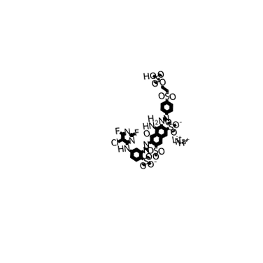 Nc1c(/N=N/c2ccc(S(=O)(=O)CCOS(=O)(=O)O)cc2)c(S(=O)(=O)[O-])cc2cc(S(=O)(=O)[O-])c(/N=N/c3cc(Nc4nc(F)nc(F)c4Cl)ccc3S(=O)(=O)[O-])c(O)c12.[H+].[Li+].[Na+]